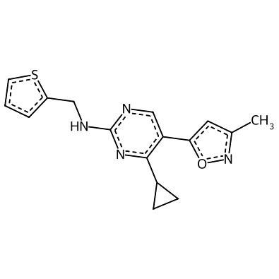 Cc1cc(-c2cnc(NCc3cccs3)nc2C2CC2)on1